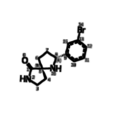 O=C1NCC[C@]12CC[C@H](c1cccc(Br)c1)N2